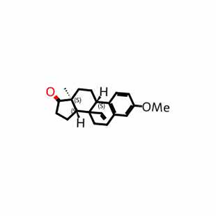 C=CC12CCc3cc(OC)ccc3[C@H]1CC[C@]1(C)C(=O)CC[C@@H]21